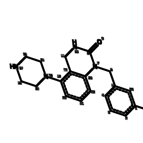 Cc1cccc(CN2C(=O)NCc3c(N4CCNCC4)cccc32)c1